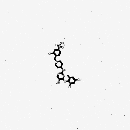 Cc1cc(C#N)cc(Cl)c1Oc1nc(NC2CCN(Cc3ccc(S(N)(=O)=O)cc3Cl)CC2)ncc1Br